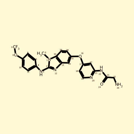 Cn1c(Nc2ccc(OC(F)(F)F)cc2)nc2cc(Oc3ccnc(NC(=O)CN)c3)ccc21